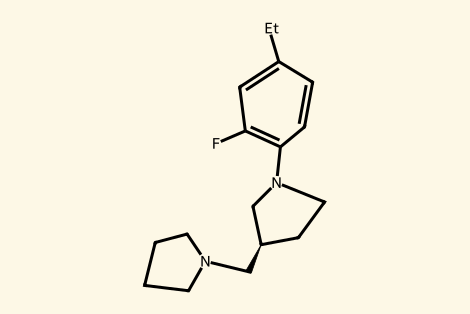 CCc1ccc(N2CC[C@@H](CN3CCCC3)C2)c(F)c1